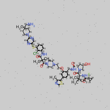 Cc1ncsc1-c1ccc(CNC(=O)[C@@H]2C[C@@H](O)CN2C(=O)[C@@H](NC(=O)C2(F)CC2)C(C)(C)C)c(OCCN2CCN(C(=O)C(C)(C)C(=O)Nc3cccc(Sc4cnc(N5CCC(C)(CN)CC5)cn4)c3Cl)CC2)c1